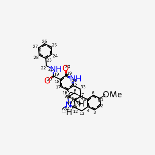 COc1ccc2c(c1)[C@]13CCN(C)[C@H](C2)[C@@H]1Cc1cc(C(=O)NCc2ccccc2)c(=O)[nH]c1C3